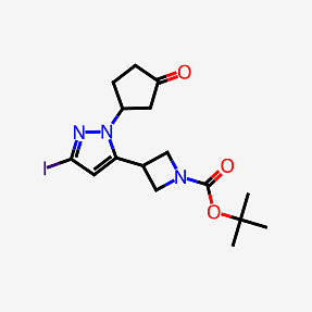 CC(C)(C)OC(=O)N1CC(c2cc(I)nn2C2CCC(=O)C2)C1